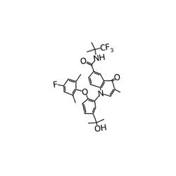 Cc1cc(F)cc(C)c1Oc1ccc(C(C)(C)O)cc1-n1cc(C)c(=O)c2cc(C(=O)NC(C)(C)C(F)(F)F)ccc21